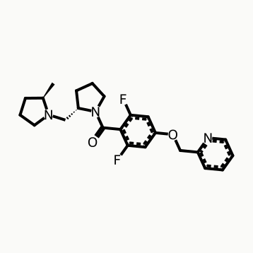 C[C@@H]1CCCN1C[C@@H]1CCCN1C(=O)c1c(F)cc(OCc2ccccn2)cc1F